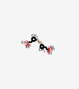 CCO[Si](CCc1cc(C)cc(SSSc2cc(C)cc(CC[Si](OCC)(OCC)OCC)c2)c1)(OCC)OCC